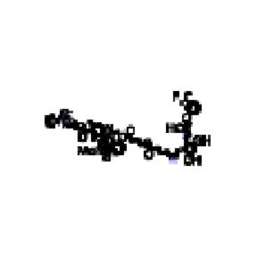 CNS(=O)(=O)c1ccccc1-n1c(COC(=O)CCCOC(=O)CCC/C=C\C[C@@H]2[C@@H](/C=C/[C@@H](O)COc3cccc(C(F)(F)F)c3)[C@H](O)C[C@@H]2O)nc2cc(C)c(C(=O)OCO/N=[N+](\[O-])N3CCCC3)c(C)c2c1=O